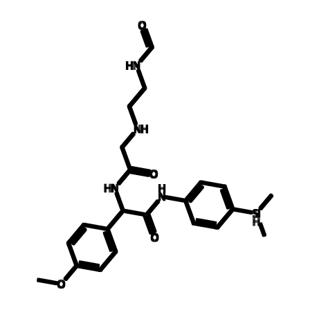 COc1ccc(C(NC(=O)CNCCNC=O)C(=O)Nc2ccc([SiH](C)C)cc2)cc1